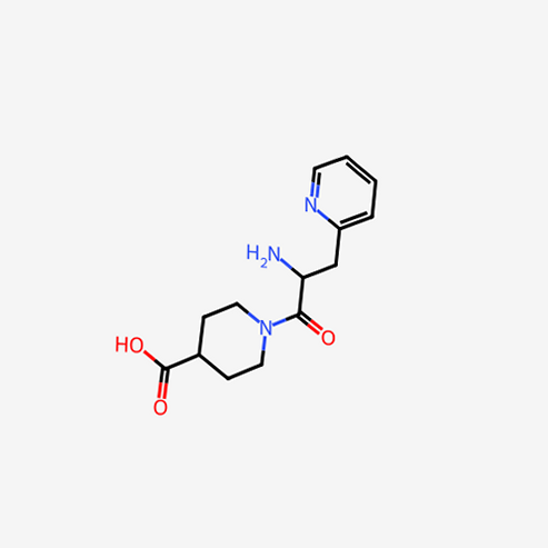 NC(Cc1ccccn1)C(=O)N1CCC(C(=O)O)CC1